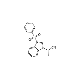 CC(C#N)c1cn(S(=O)(=O)c2ccccc2)c2ccccc12